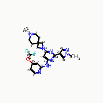 CC(=O)N1CCC2(CC1)CN(c1cc(Nc3cc(OC(F)F)ccn3)nc(-c3cnn(C)c3)n1)C2